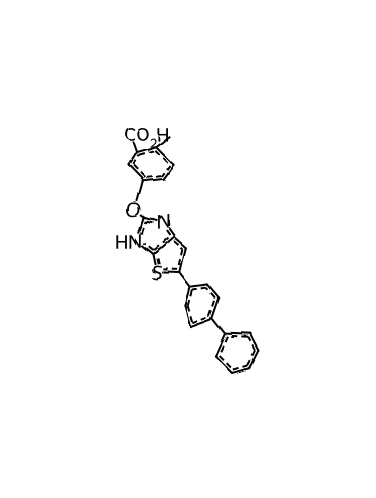 Cc1ccc(Oc2nc3cc(-c4ccc(-c5ccccc5)cc4)sc3[nH]2)cc1C(=O)O